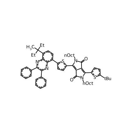 CCCCCCCCN1C(=O)C2=C(c3ccc(C(C)(C)C)s3)N(CCCCCCCC)C(=O)C2=C1c1ccc(-c2ccc(C(C)(CC)CC)c3nc(-c4ccccc4)c(-c4ccccc4)nc23)s1